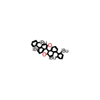 CCC(C)c1cccc(C(C)CC)c1-c1ccc2c3c1C=CC1Oc4ccc(-c5c(C(C)CC)cccc5C(C)CC)c5ccc(c(c45)C31)O2